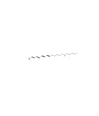 CCCCCC(O)CCCCC/C=C/C=C/C(O)=C/C=C/C(=O)O